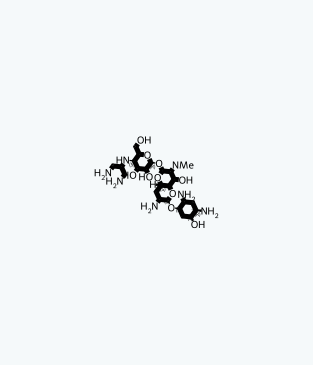 CNC1C(O[C@H]2OC(CO)[C@@H](NC(CN)CN)C(O)C2O)O[C@H]2CC(N)[C@@H](O[C@H]3C[C@H](O)[C@H](N)CC3N)OC2C1O